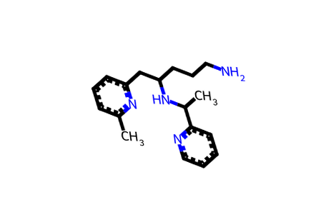 Cc1cccc(CC(CCCN)NC(C)c2ccccn2)n1